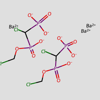 O=P([O-])([O-])C(Cl)P(=O)([O-])OCCl.O=P([O-])([O-])C(Cl)P(=O)([O-])OCCl.[Ba+2].[Ba+2].[Ba+2]